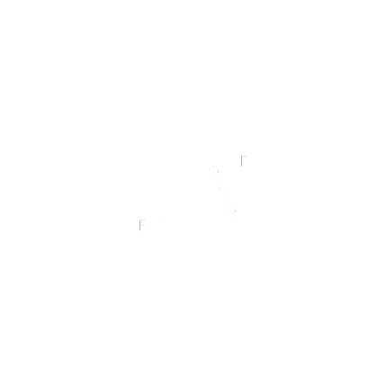 O=S(=O)(CF)c1ccc(F)cc1